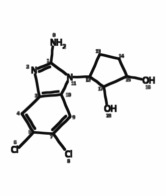 Nc1nc2cc(Cl)c(Cl)cc2n1C1CCC(O)C1O